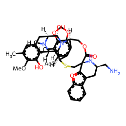 COc1c(C)cc2c(c1O)[C@H]1[C@@H]3[C@@H]4SC[C@]5(N[C@@H](CN)Cc6c5oc5ccccc65)C(=O)OC[C@@H](c5c6c(c(C)c(OC(C)=O)c54)OCO6)N3[C@@H](O)[C@H](C2)N1C